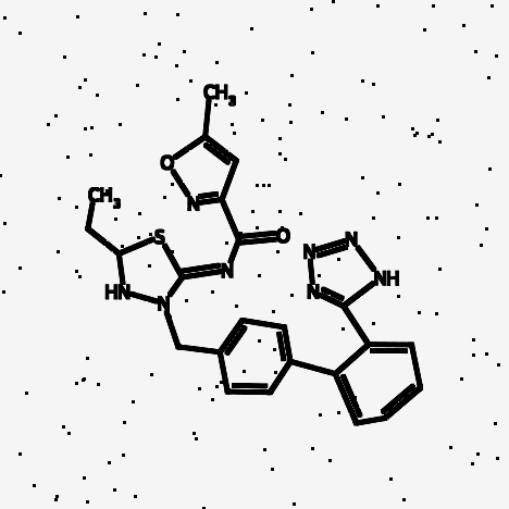 CCC1NN(Cc2ccc(-c3ccccc3-c3nnn[nH]3)cc2)C(=NC(=O)c2cc(C)on2)S1